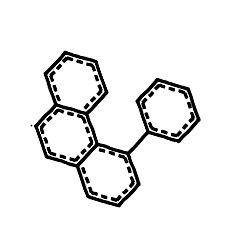 [c]1cc2cccc(-c3ccccc3)c2c2ccccc12